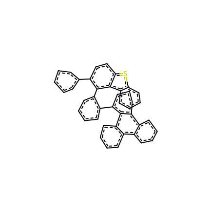 c1ccc(-c2ccc3sc4ccccc4c3c2-c2ccccc2-c2cccc3c4ccccc4c4ccccc4c23)cc1